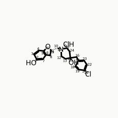 Cl.Oc1ccc2c(c1)C[C@@H](CN1CCC(O)(Cc3ccc(Cl)cc3)CC1)O2